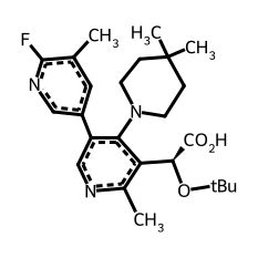 Cc1cc(-c2cnc(C)c([C@H](OC(C)(C)C)C(=O)O)c2N2CCC(C)(C)CC2)cnc1F